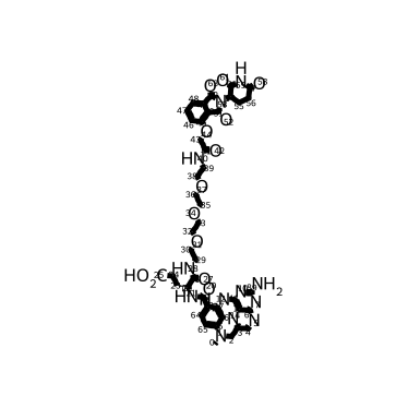 CN(Cc1cnc2nc(N)nc(N)c2n1)c1ccc(C(=O)N[C@H](CCC(=O)O)C(=O)NCCOCCOCCOCCNC(=O)COc2cccc3c2C(=O)N(C2CCC(=O)NC2=O)C3=O)cc1